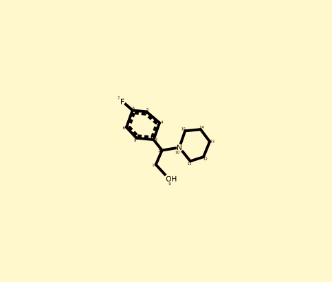 OCC(c1ccc(F)cc1)N1CCCCC1